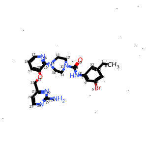 CCc1cc(Br)cc(NC(=O)N2CCN(c3ncccc3OCc3ccnc(N)n3)CC2)c1